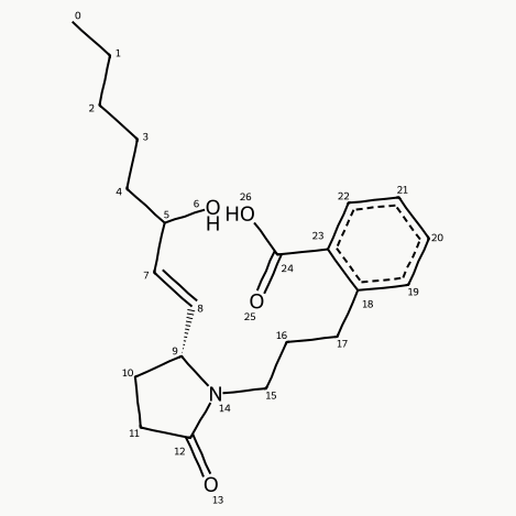 CCCCCC(O)/C=C/[C@H]1CCC(=O)N1CCCc1ccccc1C(=O)O